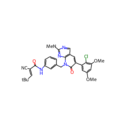 CNc1ncc2cc(-c3cc(OC)cc(OC)c3Cl)c(=O)n(Cc3cccc(NC(=O)C(C#N)=CC(C)(C)C)c3)c2n1